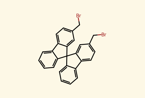 BrCc1ccc2c(c1)C1(c3ccccc3-2)c2ccccc2-c2ccc(CBr)cc21